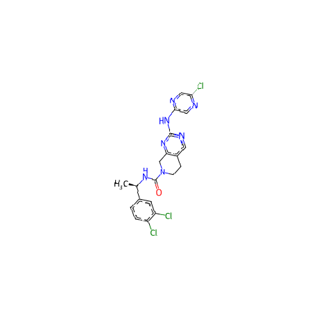 C[C@@H](NC(=O)N1CCc2cnc(Nc3cnc(Cl)cn3)nc2C1)c1ccc(Cl)c(Cl)c1